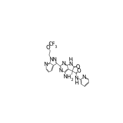 CC1(C(=O)Nc2ccccn2)C(=O)Nc2nc(-c3nn(CCOC(F)(F)F)c4ncccc34)nc(N)c21